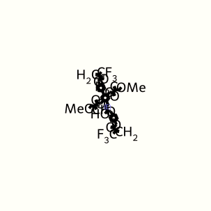 C=C(COC)C(=O)Oc1cc(-c2ccc(OC(=O)C(=C)C(F)(F)F)cc2)c(OC(=O)C(=C)COC)cc1/C=C/C(O)Oc1ccc(OC(=O)C(=C)C(F)(F)F)cc1